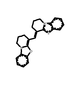 C(=C1CCC[n+]2c1sc1ccccc12)C1=C2Oc3ccccc3N2CCC1